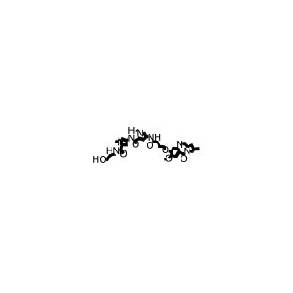 C=C1CC2C=Nc3cc(OCCCC(=O)Nc4cc(C(=O)Nc5cc(C(=O)NCCCO)n(C)c5)n(C)c4)c(OC)cc3C(=O)N2C1